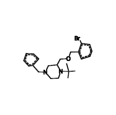 CC(C)(C)N1CCN(Cc2ccccc2)CC1COCc1ccccc1Br